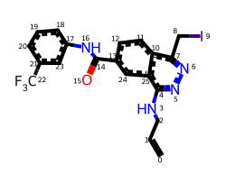 C=CCNc1nnc(CI)c2ccc(C(=O)Nc3cccc(C(F)(F)F)c3)cc12